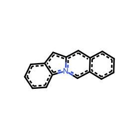 c1ccc2cn3c(cc2c1)cc1ccccc13